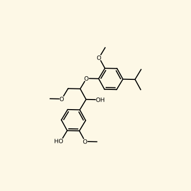 COCC(Oc1ccc(C(C)C)cc1OC)C(O)c1ccc(O)c(OC)c1